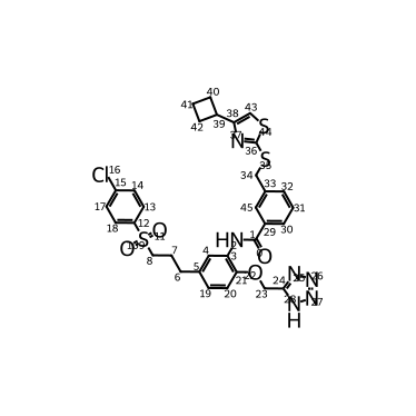 O=C(Nc1cc(CCCS(=O)(=O)c2ccc(Cl)cc2)ccc1OCc1nnn[nH]1)c1cccc(CSc2nc(C3CCC3)cs2)c1